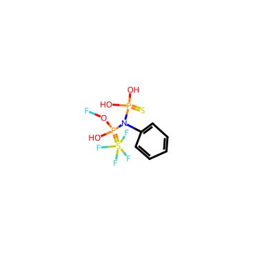 OP(O)(=S)N(c1ccccc1)P(O)(OF)=S(F)(F)(F)F